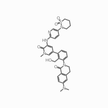 CN(C)c1ccc2c(c1)CCN(c1cccc(-c3cc(Nc4ccc(N5CCCCS5(=O)=O)cn4)c(=O)n(C)c3)c1CO)C2=O